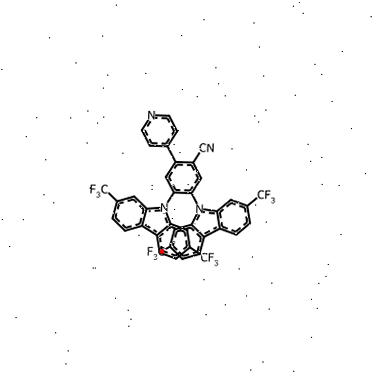 N#Cc1cc(-n2c3cc(C(F)(F)F)ccc3c3ccc(C(F)(F)F)cc32)c(-n2c3cc(C(F)(F)F)ccc3c3ccc(C(F)(F)F)cc32)cc1-c1ccncc1